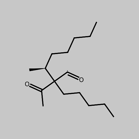 CCCCC[C@H](C)C([C]=O)(CCCCC)C(C)=O